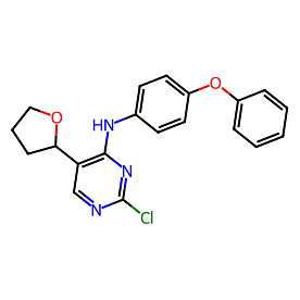 Clc1ncc(C2CCCO2)c(Nc2ccc(Oc3ccccc3)cc2)n1